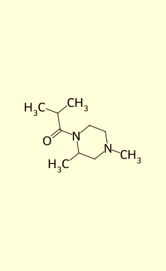 CC(C)C(=O)N1CCN(C)CC1C